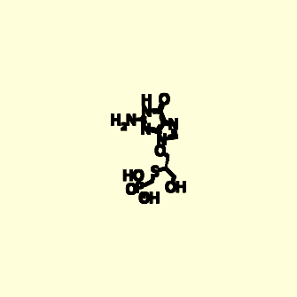 Nc1nc2c(ncn2OC[C@H](CO)SCP(=O)(O)O)c(=O)[nH]1